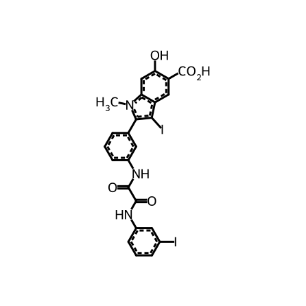 Cn1c(-c2cccc(NC(=O)C(=O)Nc3cccc(I)c3)c2)c(I)c2cc(C(=O)O)c(O)cc21